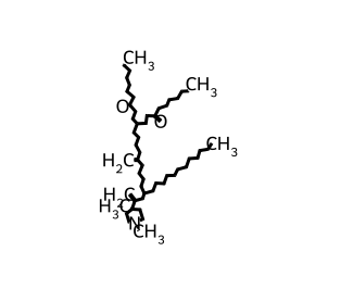 C=C(CCCCC(CCC(=O)CCCCCCC)CCC(=O)CCCCCCC)CCCCC(CCCCCCCCCCCC)CC(=C)C1(C)CCN(C)CC1